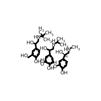 CC(C)(C)NCC(O)c1ccc(O)c(CO)c1.CC(C)NCC(O)c1ccc(O)c(O)c1.CNC[C@H](O)c1ccc(O)c(O)c1